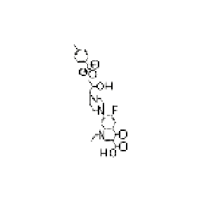 CCn1cc(C(=O)O)c(=O)c2cc(F)c(N3CCN(CC(O)COS(=O)(=O)c4ccc(C)cc4)CC3)cc21